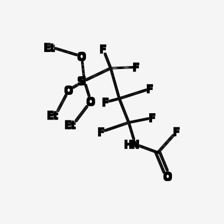 CCO[Si](OCC)(OCC)C(F)(F)C(F)(F)C(F)(F)NC(=O)F